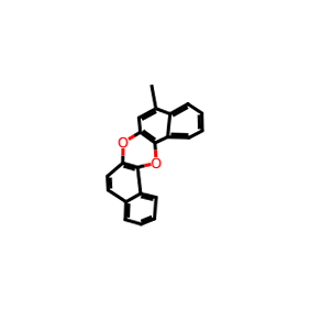 Cc1cc2c(c3ccccc13)Oc1c(ccc3ccccc13)O2